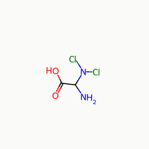 NC(C(=O)O)N(Cl)Cl